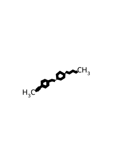 CC#Cc1ccc(CC[C@H]2CC[C@H](CCCCC)CC2)cc1